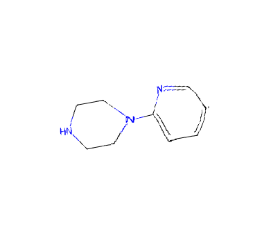 [c]1ccc(N2CCNCC2)nc1